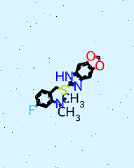 CN(C)c1cc(F)ccc1CSc1nc2cc3c(cc2[nH]1)OCO3